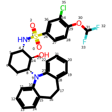 O=S(=O)(N[C@H]1CCC[C@@H](N2c3ccccc3CCc3ccccc32)[C@@H]1O)c1ccc(OC(F)F)c(Cl)c1